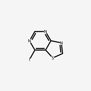 Ic1ncnc2ncsc12